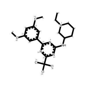 CCN1CCCC(Nc2nc(-c3cc(OC)cc(OC)c3)nc(C(Cl)(Cl)Cl)n2)C1